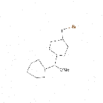 COC(C1CCCCC1)C1CCC(CBr)CC1